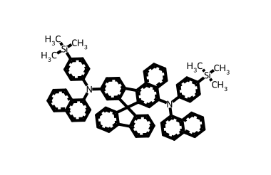 C[Si](C)(C)c1ccc(N(c2ccc3c(c2)C2(c4ccccc4-c4ccccc42)c2cc(N(c4ccc([Si](C)(C)C)cc4)c4cccc5ccccc45)c4ccccc4c2-3)c2cccc3ccccc23)cc1